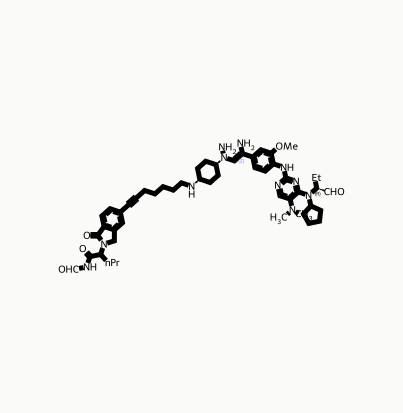 CCCC(C(=O)NC=O)N1Cc2cc(C#CCCCCCN[C@H]3CC[C@@H](N(N)/C=C(\N)c4ccc(Nc5ncc(N(C)C)c(N(C6CCCC6)[C@@H](C=O)CC)n5)c(OC)c4)CC3)ccc2C1=O